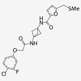 CSCc1ccc(C(=O)NC23CC(NC(=O)COc4ccc(Cl)c(F)c4)(C2)C3)o1